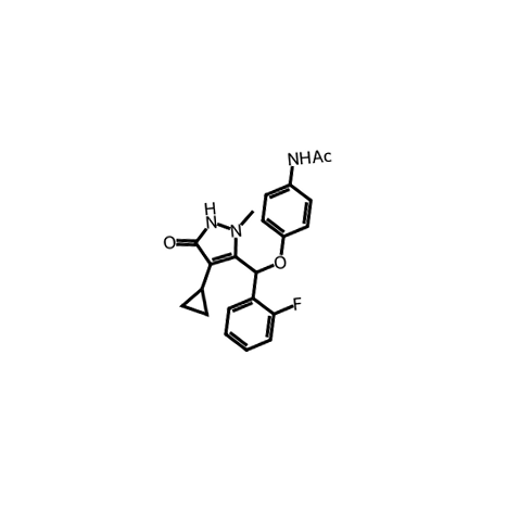 CC(=O)Nc1ccc(OC(c2ccccc2F)c2c(C3CC3)c(=O)[nH]n2C)cc1